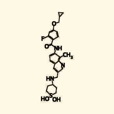 Cc1c(NC(=O)c2ccc(OCC3CC3)cc2F)ccc2cc(CNC3CCS(O)(O)CC3)cnc12